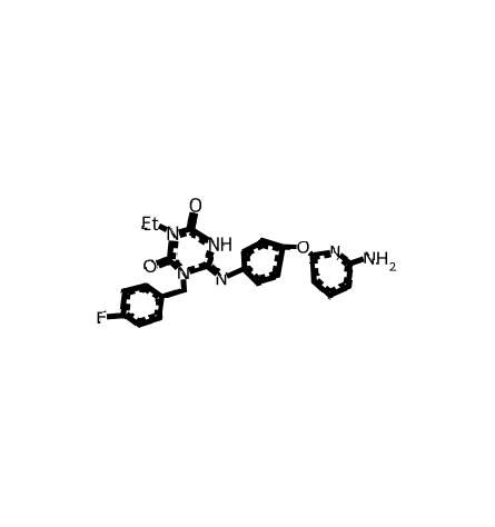 CCn1c(=O)[nH]/c(=N\c2ccc(Oc3cccc(N)n3)cc2)n(Cc2ccc(F)cc2)c1=O